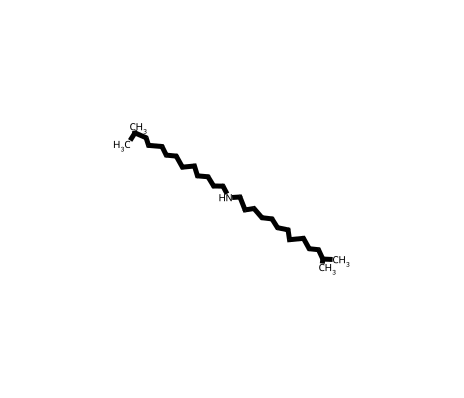 CC(C)CCCCCCCCCCCNCCCCCCCCCCCC(C)C